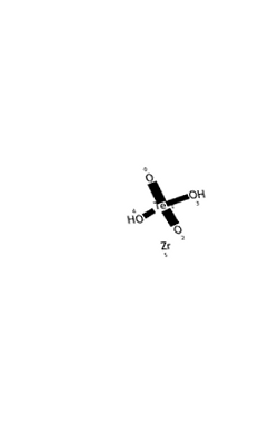 O=[Te](=O)(O)O.[Zr]